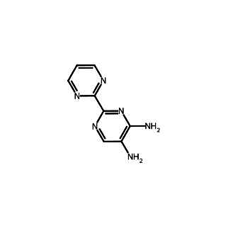 Nc1cnc(-c2ncccn2)nc1N